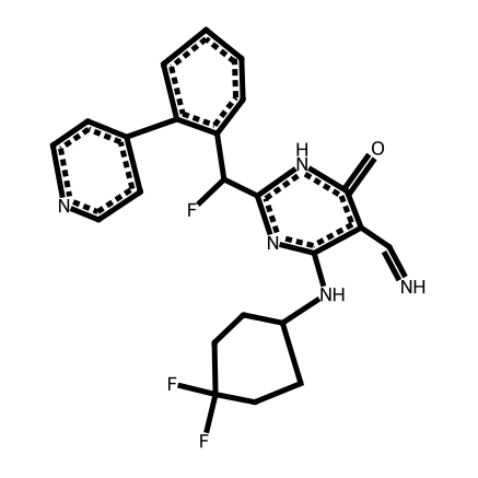 N=Cc1c(NC2CCC(F)(F)CC2)nc(C(F)c2ccccc2-c2ccncc2)[nH]c1=O